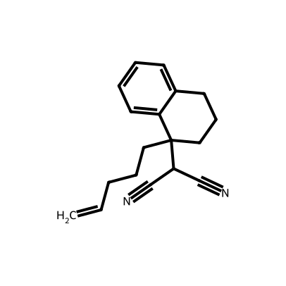 C=CCCCC1(C(C#N)C#N)CCCc2ccccc21